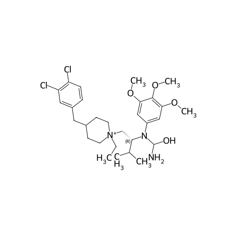 CC[N+]1(C[C@@H](C(C)C)N(c2cc(OC)c(OC)c(OC)c2)C(N)O)CCC(Cc2ccc(Cl)c(Cl)c2)CC1